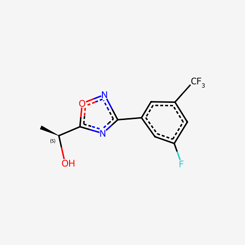 C[C@H](O)c1nc(-c2cc(F)cc(C(F)(F)F)c2)no1